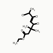 CCOC(=O)CC(C)(C)C(Cl)C=C(Cl)C(C)Cl